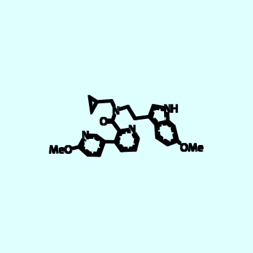 COc1ccc2c(CCN(CC3CC3)C(=O)c3ncccc3-c3ccc(OC)nc3)c[nH]c2c1